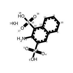 Nc1c(S(=O)(=O)O)cc2ccccc2c1S(=O)(=O)O.[KH]